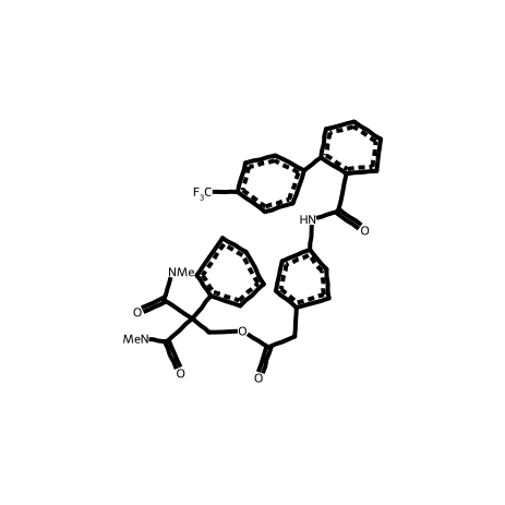 CNC(=O)C(COC(=O)Cc1ccc(NC(=O)c2ccccc2-c2ccc(C(F)(F)F)cc2)cc1)(C(=O)NC)c1ccccc1